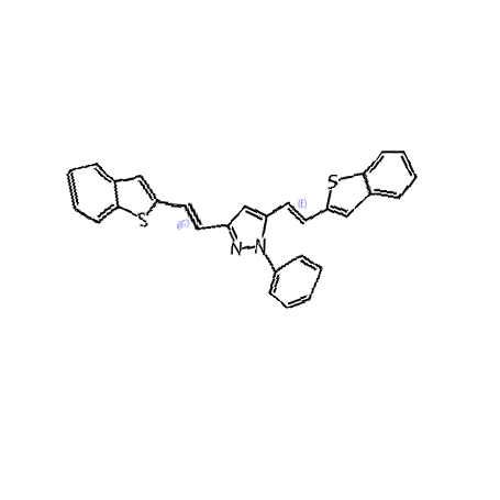 C(=C\c1cc2ccccc2s1)/c1cc(/C=C/c2cc3ccccc3s2)n(-c2ccccc2)n1